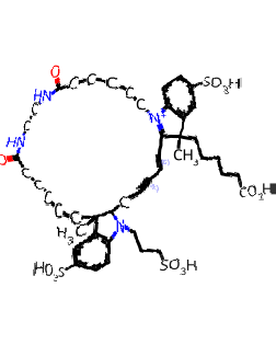 CC1(CCCCCC(=O)O)C2=[N+](CCCCCC(=O)NCCNC(=O)CCCCCC3(C)c4cc(S(=O)(=O)O)ccc4N(CCCS(=O)(=O)O)C3C/C=C/C=C/2)c2ccc(S(=O)(=O)O)cc21